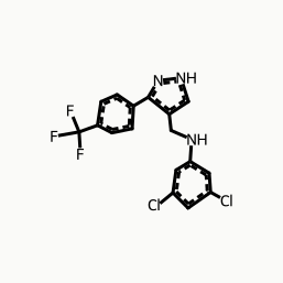 FC(F)(F)c1ccc(-c2n[nH]cc2CNc2cc(Cl)cc(Cl)c2)cc1